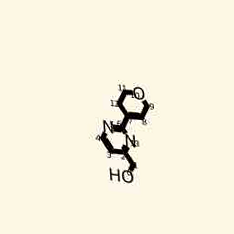 OCc1ccnc(C2=CCOCC2)n1